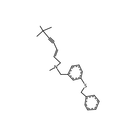 CN(CC=CC#CC(C)(C)C)Cc1cccc(SCc2ccccc2)c1